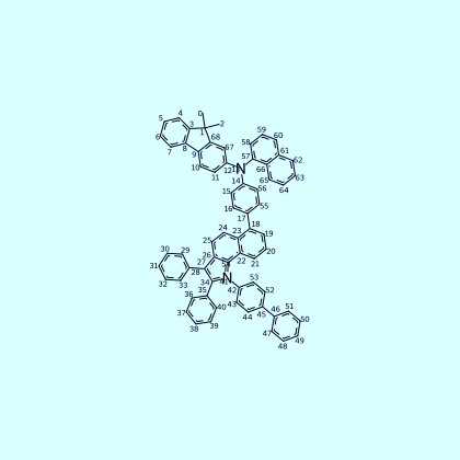 CC1(C)c2ccccc2-c2ccc(N(c3ccc(-c4cccc5c4ccc4c(-c6ccccc6)c(-c6ccccc6)n(-c6ccc(-c7ccccc7)cc6)c45)cc3)c3cccc4ccccc34)cc21